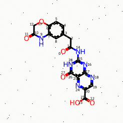 O=C(Cc1ccc2c(c1)NC(=O)CO2)Nc1nc2ncc(C(=O)O)nc2c(=O)[nH]1